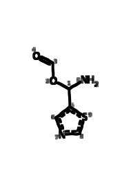 NC(OC=O)c1cncs1